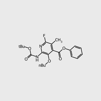 CCCCOc1c(NC(=O)OC(C)(C)C)nc(F)c(C)c1C(=O)Oc1ccccc1